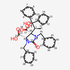 C[C@H](C(O)(c1ccccc1)c1ccccc1)[C@]1(C(=O)O)[C@@H](C(=O)O)N(Cc2ccccc2)C(=O)N1Cc1ccccc1